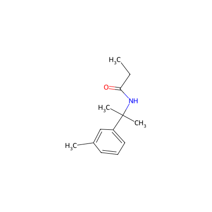 CCC(=O)NC(C)(C)c1cccc(C)c1